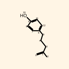 C=C(C)CCCc1ccc(O)cc1